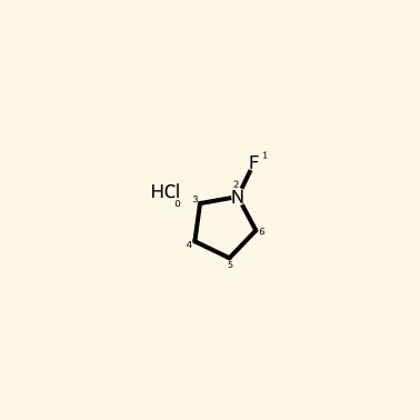 Cl.FN1CCCC1